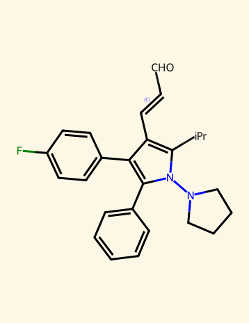 CC(C)c1c(/C=C/C=O)c(-c2ccc(F)cc2)c(-c2ccccc2)n1N1CCCC1